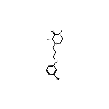 C[C@@H]1C(=O)N(C)CCN1CCCOc1cccc(Br)c1